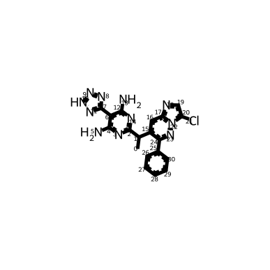 CC(c1nc(N)c(-c2nn[nH]n2)c(N)n1)c1cc2ncc(Cl)n2nc1-c1ccccc1